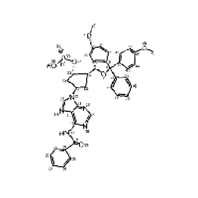 COc1ccc(C(OC[C@H]2C[C@@H](n3cnc4c(NC(=O)c5ccccc5)ncnc43)C[C@@H]2O[PH](=O)O)(c2ccccc2)c2ccc(OC)cc2)cc1